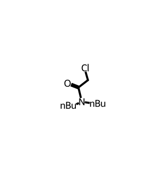 CCCCN(CCCC)C(=O)CCl